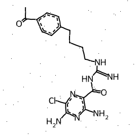 CC(=O)c1ccc(CCCCNC(=N)NC(=O)c2nc(Cl)c(N)nc2N)cc1